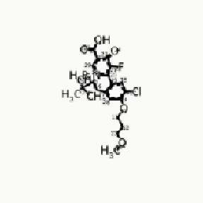 B[C@@]1(C(C)(C)C)Cc2cc(OCCCOC)c(Cl)cc2-c2c(F)c(=O)c(C(=O)O)cn21